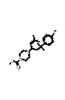 COC(=O)N1CCN(C(C=C(C)C)CC(C)(C)c2ccc(F)cc2)CC1